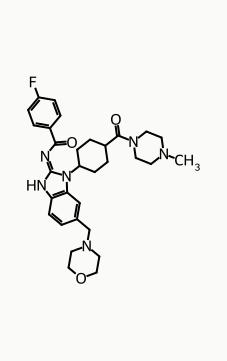 CN1CCN(C(=O)C2CCC(n3/c(=N\C(=O)c4ccc(F)cc4)[nH]c4ccc(CN5CCOCC5)cc43)CC2)CC1